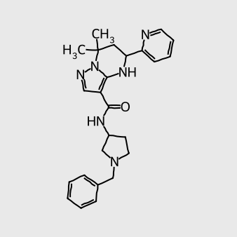 CC1(C)CC(c2ccccn2)Nc2c(C(=O)NC3CCN(Cc4ccccc4)C3)cnn21